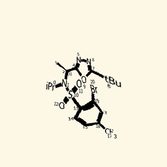 CC(C)N([C@@H](C)c1nnc(C(C)(C)C)o1)S(=O)(=O)c1ccc(C(F)(F)F)cc1Br